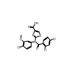 COc1cc(N(C(=O)c2ccc(Cl)cc2Cl)c2nc(C(=O)O)cs2)ccc1Cl